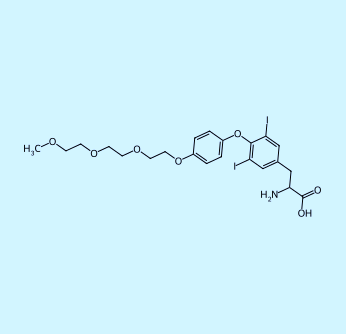 COCCOCCOCCOc1ccc(Oc2c(I)cc(CC(N)C(=O)O)cc2I)cc1